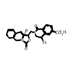 CCC1CN(CC2OC(=O)N3CC4=C(C=CCC4)C[C@@H]23)C(=O)c2ccc(C(=O)O)cc21